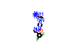 O=C(N1CCN(c2nccc(-c3nnn[nH]3)n2)CC1)N1N=CCC1c1cc(F)cc(F)c1